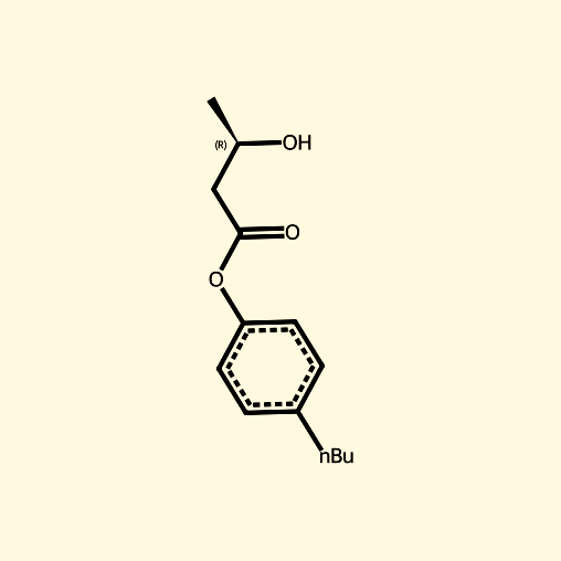 CCCCc1ccc(OC(=O)C[C@@H](C)O)cc1